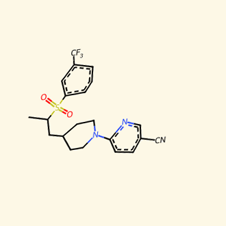 CC(CC1CCN(c2ccc(C#N)cn2)CC1)S(=O)(=O)c1cccc(C(F)(F)F)c1